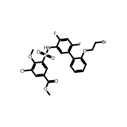 COC(=O)c1cc(Cl)c(OC)c(S(=O)(=O)Nc2cc(-c3ccccc3OCCBr)c(F)cc2F)c1